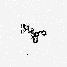 COC[C@H]1CN[C@H](C)CN1CC(=O)N1CC(C)(c2ccccn2)c2ccc(Cc3ccccc3)cc21